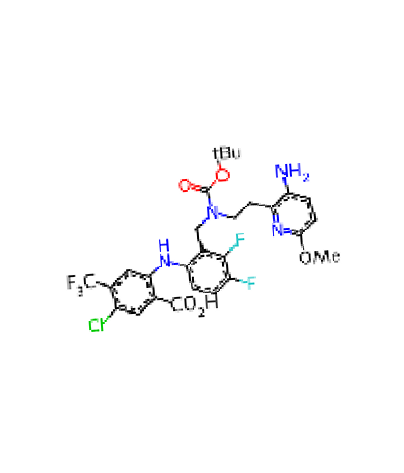 COc1ccc(N)c(CCN(Cc2c(Nc3cc(C(F)(F)F)c(Cl)cc3C(=O)O)ccc(F)c2F)C(=O)OC(C)(C)C)n1